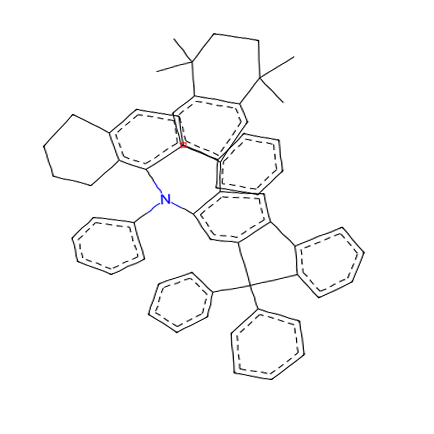 CC1(C)CCC(C)(C)c2cc(-c3cc4c(cc3N(c3ccccc3)c3c(-c5ccccc5)ccc5c3CCCC5)C(c3ccccc3)(c3ccccc3)c3ccccc3-4)ccc21